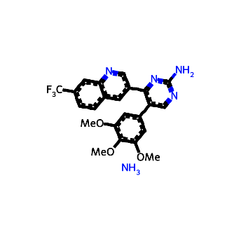 COc1cc(-c2cnc(N)nc2-c2cnc3cc(C(F)(F)F)ccc3c2)cc(OC)c1OC.N